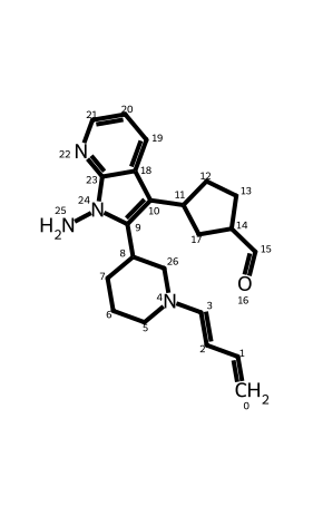 C=CC=CN1CCCC(c2c(C3CCC(C=O)C3)c3cccnc3n2N)C1